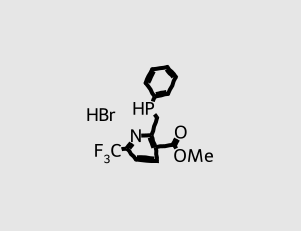 Br.COC(=O)c1ccc(C(F)(F)F)nc1CPc1ccccc1